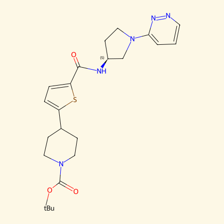 CC(C)(C)OC(=O)N1CCC(c2ccc(C(=O)N[C@H]3CCN(c4cccnn4)C3)s2)CC1